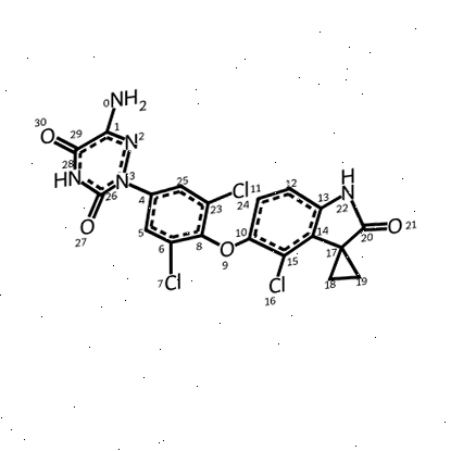 Nc1nn(-c2cc(Cl)c(Oc3ccc4c(c3Cl)C3(CC3)C(=O)N4)c(Cl)c2)c(=O)[nH]c1=O